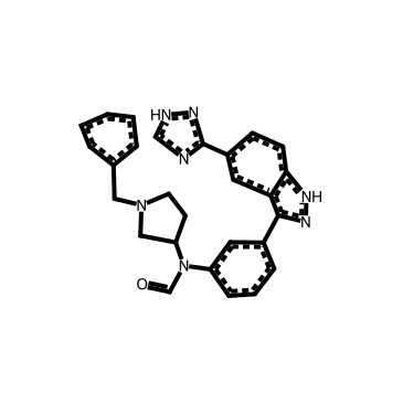 O=CN(c1cccc(-c2n[nH]c3ccc(-c4nc[nH]n4)cc23)c1)C1CCN(Cc2ccccc2)C1